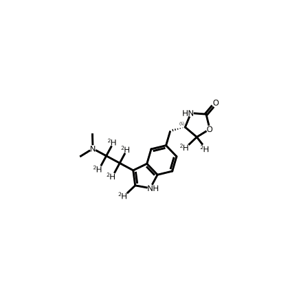 [2H]c1[nH]c2ccc(C[C@@H]3NC(=O)OC3([2H])[2H])cc2c1C([2H])([2H])C([2H])([2H])N(C)C